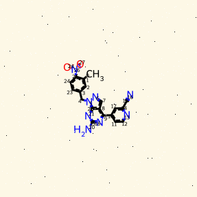 Cc1cc(Cn2ncc3c(-c4ccnc(C#N)c4)nc(N)nc32)ccc1[N+](=O)[O-]